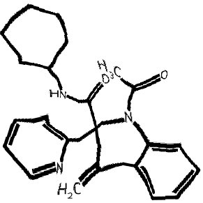 C=C1c2ccccc2N(C(C)=O)C1(C(=O)NC1CCCCC1)c1ccccn1